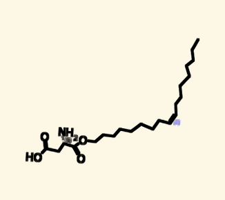 CCCCCCCC/C=C\CCCCCCCCOC(=O)[C@@H](N)CC(=O)O